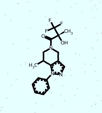 CC1CN(C(=O)[C@@](C)(O)C(F)(F)F)Cc2cnn(-c3ccccc3)c21